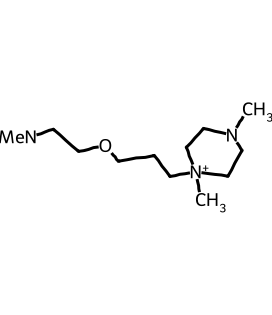 CNCCOCCC[N+]1(C)CCN(C)CC1